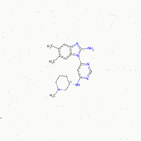 Cc1cc2nc(N)n(-c3cc(N[C@H]4CCCN(C)C4)ncn3)c2cc1C